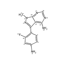 Cn1nc(-c2ccc(N)cc2F)c2c(N)ncnc21